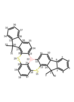 CC1(C)c2ccccc2-c2ccc3c(c21)Sc1cccc2c1B3c1ccc3c(c1S2)C(C)(C)c1ccccc1-3